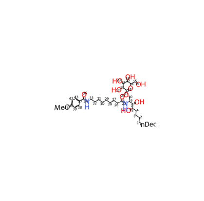 CCCCCCCCCCCCCC[C@@H](O)[C@@H](O)[C@H](CO[C@H]1OC(CO)[C@H](O)[C@H](O)C1O)NC(=O)CCCCCCCCNC(=O)c1ccc(OC)cc1